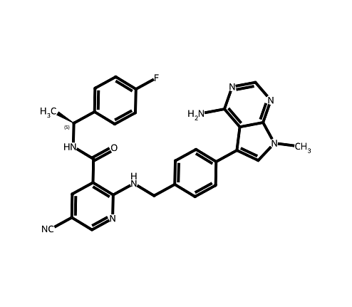 C[C@H](NC(=O)c1cc(C#N)cnc1NCc1ccc(-c2cn(C)c3ncnc(N)c23)cc1)c1ccc(F)cc1